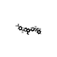 CCc1cc(-c2ccc(NS(=O)(=O)c3ccccc3Cl)nn2)cc2cnc(N[C@H]3CC[C@H](NC)CC3)nc12